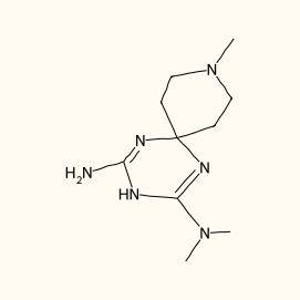 CN1CCC2(CC1)N=C(N)NC(N(C)C)=N2